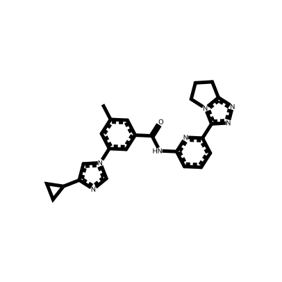 Cc1cc(C(=O)Nc2cccc(-c3nnc4n3CCC4)n2)cc(-n2cnc(C3CC3)c2)c1